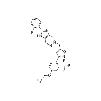 CCOc1ccc(-c2cc(CN3Cc4nc(-c5ccccc5F)[nH]c4C=N3)on2)c(C(F)(F)F)c1